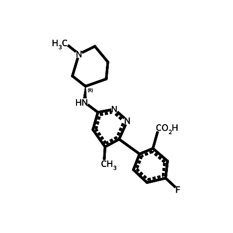 Cc1cc(N[C@@H]2CCCN(C)C2)nnc1-c1ccc(F)cc1C(=O)O